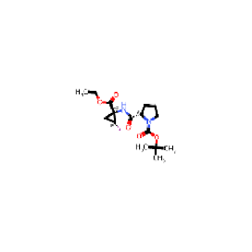 CCOC(=O)[C@@]1(NC(=O)[C@@H]2CCCN2C(=O)OC(C)(C)C)C[C@H]1I